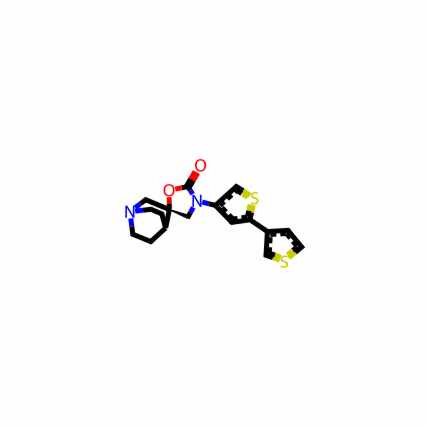 O=C1O[C@]2(CN3CCC2CC3)CN1c1csc(-c2ccsc2)c1